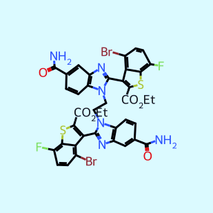 CCOC(=O)c1sc2c(F)ccc(Br)c2c1-c1nc2cc(C(N)=O)ccc2n1CCn1c(-c2c(C(=O)OCC)sc3c(F)ccc(Br)c23)nc2cc(C(N)=O)ccc21